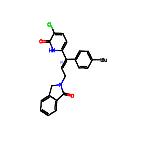 CC(C)(C)c1ccc(/C(=C\CN2Cc3ccccc3C2=O)c2ccc(Cl)c(=O)[nH]2)cc1